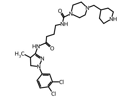 CC1CN(c2ccc(Cl)c(Cl)c2)N=C1NC(=O)CCCNC(=O)N1CCN(CC2CCNCC2)CC1